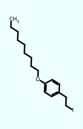 CCCCCCCCCOc1ccc(CCI)cc1